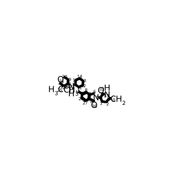 C=C1CCC(N2Cc3cc(C[C@H]4CCCC[C@@H]4N[C@H]4CCOCC4(C)C)ccc3C2=O)C(=O)N1